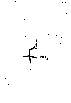 COCC(C)(C)C.N